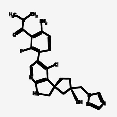 CN(C)C(=O)c1c(N)ccc(-c2cnc3c(c2Cl)[C@@]2(CC[C@](O)(Cn4cncn4)C2)CN3)c1F